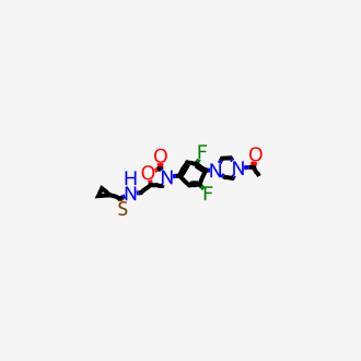 CC(=O)N1CCN(c2c(F)cc(N3CC(CNC(=S)C4CC4)OC3=O)cc2F)CC1